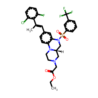 CCOC(=O)CN1CCN2c3ccc(/C=C(\C)c4c(F)cccc4Cl)cc3N(S(=O)(=O)c3cccc(C(F)(F)F)c3)C[C@@H]2C1